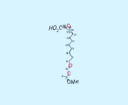 COC(C)OCOCCCCCCCC[C@@H]1O[C@H]1C(=O)O